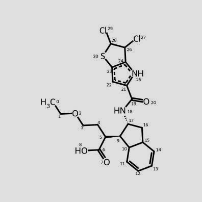 CCOCCC(C(=O)O)[C@@H]1C2C=CC=CC2C[C@H]1NC(=O)c1cc2c([nH]1)C(Cl)C(Cl)S2